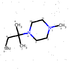 CN1CCN(C(C)(C)CC(C)(C)C)CC1